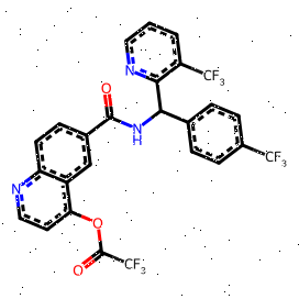 O=C(NC(c1ccc(C(F)(F)F)cc1)c1ncccc1C(F)(F)F)c1ccc2nccc(OC(=O)C(F)(F)F)c2c1